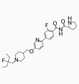 CCC(F)(CC)CN1CCC(COc2ccc(-c3ccc(C(=O)NC(=O)[C@]4(C)CCCN4)c(F)c3)nc2)CC1